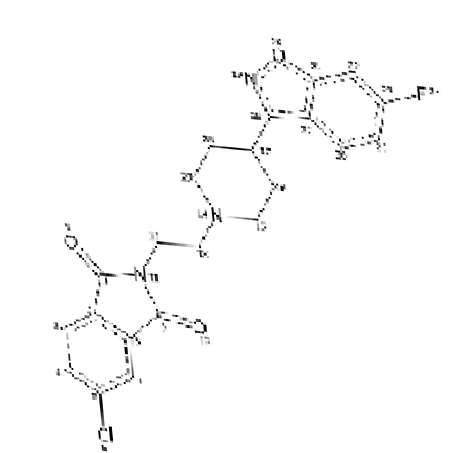 O=C1c2ccc(Cl)cc2C(=O)N1CCN1CCC(c2noc3cc(F)ccc23)CC1